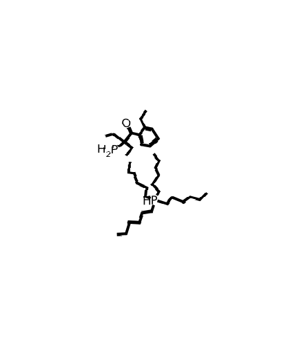 CCCCCC[PH](CCCCCC)(CCCCCC)CCCCCC.CCc1ccccc1C(=O)C(P)(CC)CC